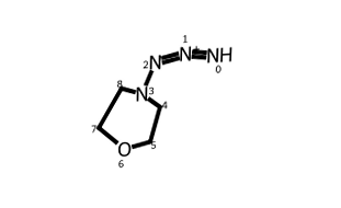 N=[N+]=NN1CCOCC1